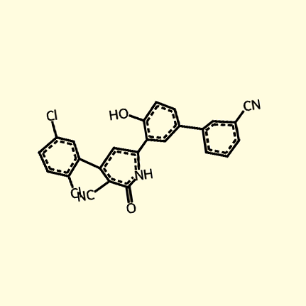 N#Cc1cccc(-c2ccc(O)c(-c3cc(-c4cc(Cl)ccc4Cl)c(C#N)c(=O)[nH]3)c2)c1